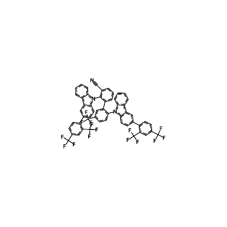 N#Cc1cccc(-c2cc(C(F)(F)F)ccc2-n2c3ccccc3c3cc(-c4ccc(C(F)(F)F)cc4C(F)(F)F)ccc32)c1-n1c2ccccc2c2cc(-c3ccc(C(F)(F)F)cc3C(F)(F)F)ccc21